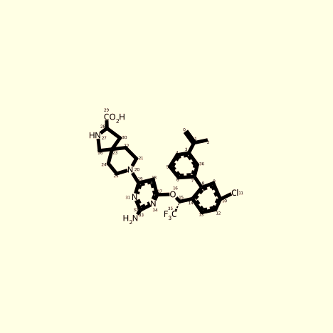 C=C(C)c1cccc(-c2cc(Cl)ccc2[C@@H](Oc2cc(N3CCC4(CC3)CNC(C(=O)O)C4)nc(N)n2)C(F)(F)F)c1